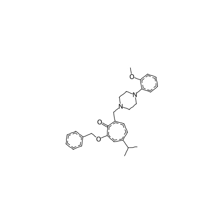 COc1ccccc1N1CCN(Cc2ccc(C(C)C)cc(OCc3ccccc3)c2=O)CC1